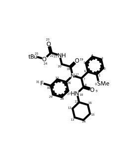 CSc1ccccc1C(C(=O)NC1CCCCC1)N(C(=O)CNC(=O)OC(C)(C)C)c1cccc(F)c1